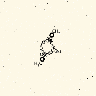 CCOC[C@H]1COCCN(S(=O)(=O)c2ccc(C)cc2)CCOCCOCCN(S(=O)(=O)c2ccc(C)cc2)CCO1